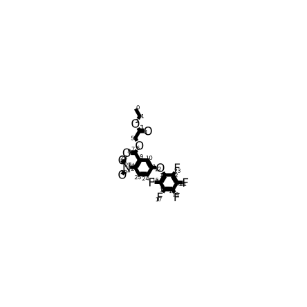 CCOC(=O)COC(=O)c1cc(Oc2c(F)c(F)c(F)c(F)c2F)ccc1[N+](=O)[O-]